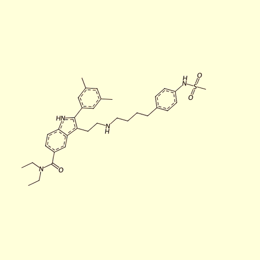 CCN(CC)C(=O)c1ccc2[nH]c(-c3cc(C)cc(C)c3)c(CCNCCCCc3ccc(NS(C)(=O)=O)cc3)c2c1